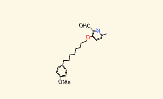 COc1ccc(CCCCCCCCOc2ccc(C)nc2C=O)cc1